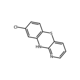 Clc1ccc2c(c1)Nc1ncccc1S2